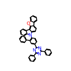 c1ccc(-c2nc(-c3ccccc3)nc(-c3ccc(-n4c5ccccc5c5c6oc7ccccc7c6ccc54)c(-c4ccccc4)c3)n2)cc1